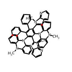 CN1c2ccccc2N(c2c(-c3ccccc3)c(-c3ccccc3)c(-c3nc4cccnc4n3C)c(N3c4ccccc4N(C)c4ccccc43)c2-c2nc3cccnc3n2C)c2ccccc21